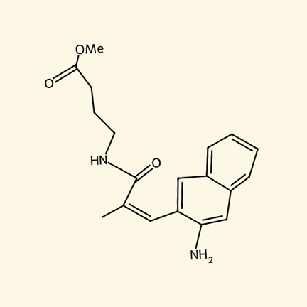 COC(=O)CCCNC(=O)C(C)=Cc1cc2ccccc2cc1N